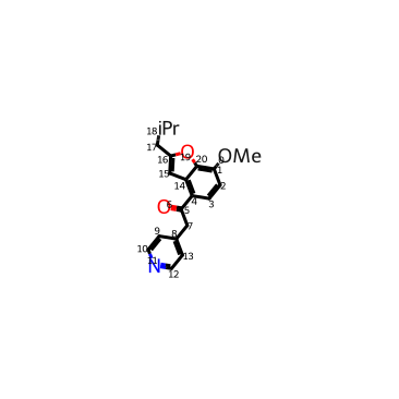 COc1ccc(C(=O)Cc2ccncc2)c2cc(CC(C)C)oc12